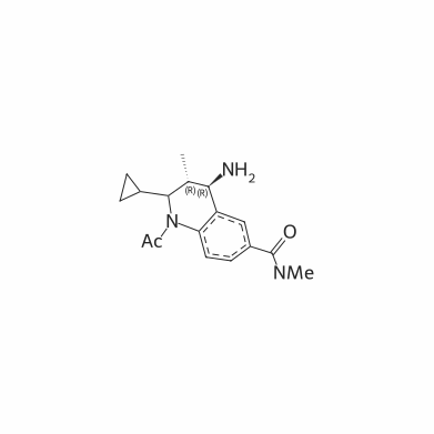 CNC(=O)c1ccc2c(c1)[C@H](N)[C@@H](C)C(C1CC1)N2C(C)=O